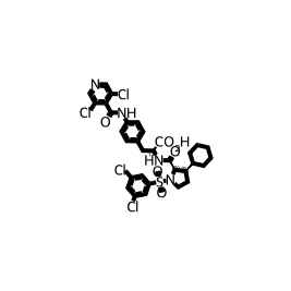 O=C(Nc1ccc(C[C@H](NC(=O)[C@H]2[C@@H](C3CCCCC3)CCN2S(=O)(=O)c2cc(Cl)cc(Cl)c2)C(=O)O)cc1)c1c(Cl)cncc1Cl